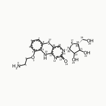 NCCOc1cccc2c1Nc1nc(=O)n([C@@H]3S[C@H](CO)C(O)C3O)cc1S2